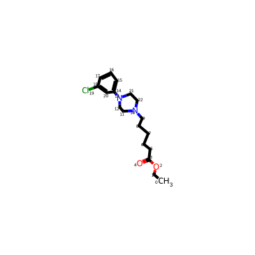 CCOC(=O)CCCCCN1CCN(c2cccc(Cl)c2)CC1